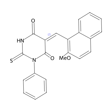 COc1ccc2ccccc2c1/C=C1/C(=O)NC(=S)N(c2ccccc2)C1=O